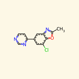 Cc1nc2cc(-c3ccncn3)cc(Cl)c2o1